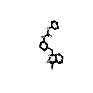 O=C(Nc1ccccc1)Nc1cccc(Cc2n[nH]c(=O)c3ccccc23)c1